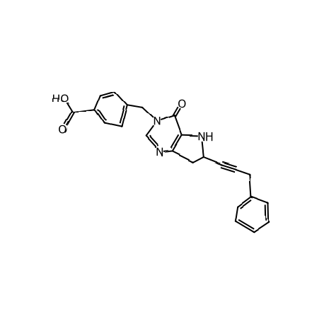 O=C(O)c1ccc(Cn2cnc3c(c2=O)NC(C#CCc2ccccc2)C3)cc1